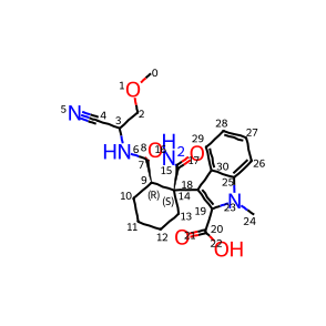 COCC(C#N)NC(=O)[C@@H]1CCCC[C@@]1(C(N)=O)c1c(C(=O)O)n(C)c2ccccc12